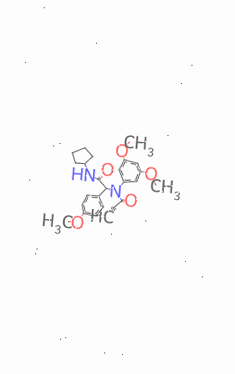 C#CC(=O)N(c1cc(OC)cc(OC)c1)C(C(=O)NC1CCCC1)c1ccc(OC)cc1